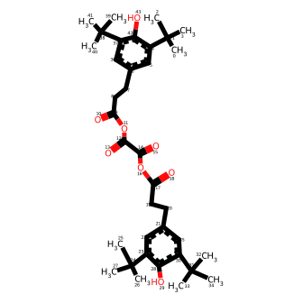 CC(C)(C)c1cc(CCC(=O)OC(=O)C(=O)OC(=O)CCc2cc(C(C)(C)C)c(O)c(C(C)(C)C)c2)cc(C(C)(C)C)c1O